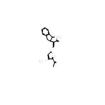 C#CC(=O)C1=NC(O/C=C2/C(=O)NC3c4ccccc4CC23)C=C1C